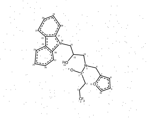 [O-][S+](CCC(F)(F)F)N(Cc1ccco1)CC(O)Cn1c2ccccc2c2ccccc21